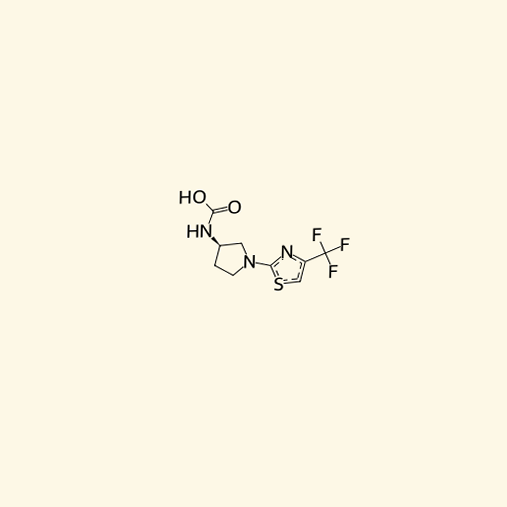 O=C(O)N[C@@H]1CCN(c2nc(C(F)(F)F)cs2)C1